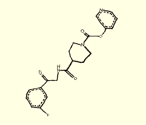 O=C(CNC(=O)C1CCN(C(=O)Oc2cccnc2)CC1)c1cccc(F)c1